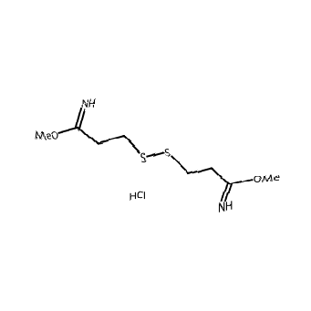 COC(=N)CCSSCCC(=N)OC.Cl